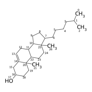 CC(C)CCCCC1CCC2C3CC=C4CC(O)CCC4(C)C3CCC12C